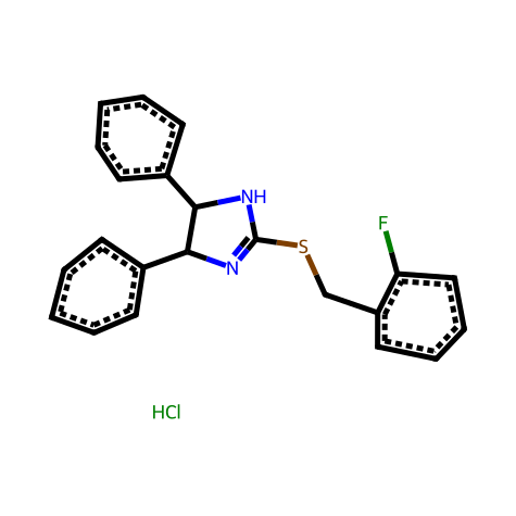 Cl.Fc1ccccc1CSC1=NC(c2ccccc2)C(c2ccccc2)N1